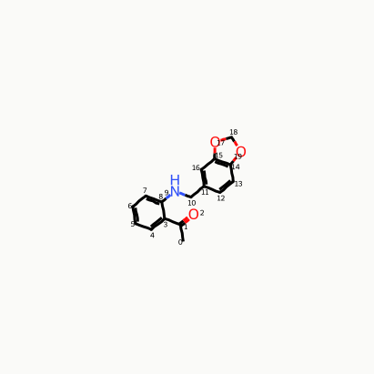 CC(=O)c1ccccc1NCc1ccc2c(c1)OCO2